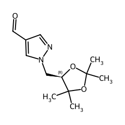 CC1(C)O[C@H](Cn2cc(C=O)cn2)C(C)(C)O1